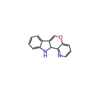 C1=C2c3ccccc3NC2c2ncccc2O1